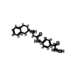 O=C(CNC1CCc2ccccc2C1)Nc1ccc(C(=O)NO)cc1